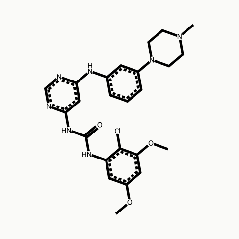 COc1cc(NC(=O)Nc2cc(Nc3cccc(N4CCN(C)CC4)c3)ncn2)c(Cl)c(OC)c1